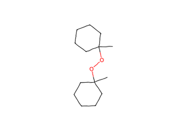 CC1(OOC2(C)CCCCC2)CCCCC1